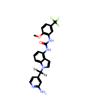 [2H]C([2H])(c1ccnc(N)c1)n1ccc2c(NC(=O)Nc3cc(C(F)(F)F)ccc3OC)cccc21